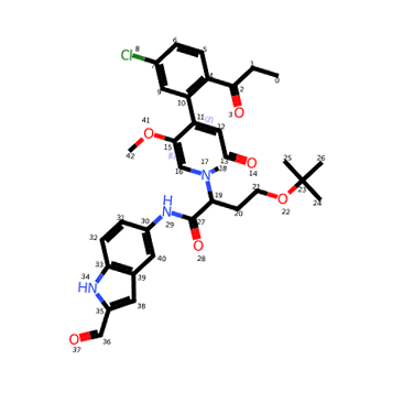 CCC(=O)c1ccc(Cl)cc1C(=C/C=O)/C(=C\N(C)C(CCOC(C)(C)C)C(=O)Nc1ccc2[nH]c(C=O)cc2c1)OC